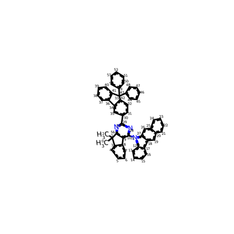 CC1(C)c2ccccc2-c2c(-n3c4ccccc4c4cc5ccccc5cc43)nc(-c3ccc4c(c3)-c3ccccc3C4(c3ccccc3)c3ccccc3)nc21